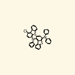 Clc1ccc(N(c2ccccc2)c2ccc(N(c3ccccc3)c3ccccc3)c3sc4ccccc4c23)c2sc3ccccc3c12